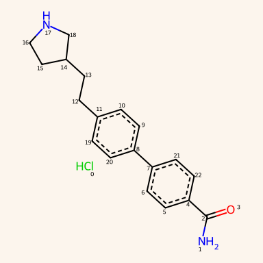 Cl.NC(=O)c1ccc(-c2ccc(CCC3CCNC3)cc2)cc1